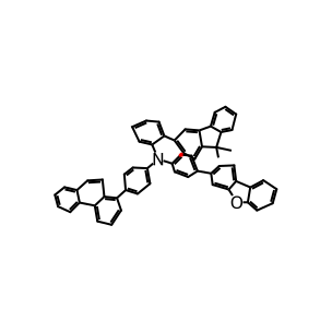 CC1(C)c2ccccc2-c2cc(-c3ccccc3N(c3ccc(-c4ccc5c(c4)oc4ccccc45)cc3)c3ccc(-c4cccc5c4ccc4ccccc45)cc3)ccc21